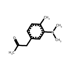 CC(=O)Cc1ccc(C)c(N(C)C)c1